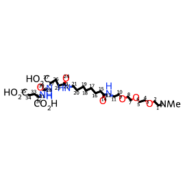 CNCCOCCOCCOCCNC(=O)CCCCCCCNC(=O)CC[C@H](NC(=O)N[C@@H](CCC(=O)O)C(=O)O)C(=O)O